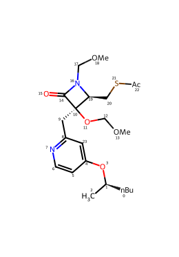 CCCC[C@@H](C)Oc1ccnc(C[C@]2(OCOC)C(=O)N(COC)[C@H]2CSC(C)=O)c1